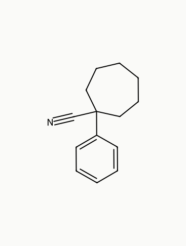 N#CC1(c2ccccc2)CCCCCC1